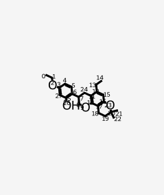 CCOc1ccc(C2COc3c(c(CC)cc4c3CCC(C)(C)O4)C2)c(O)c1